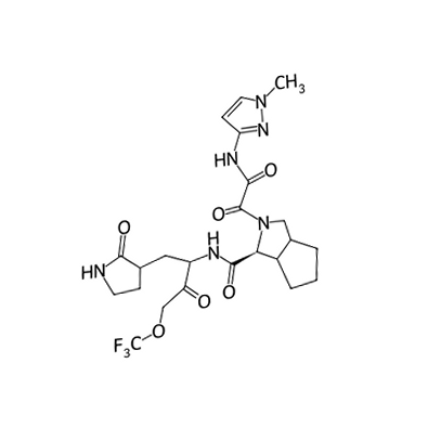 Cn1ccc(NC(=O)C(=O)N2CC3CCCC3[C@H]2C(=O)NC(CC2CCNC2=O)C(=O)COC(F)(F)F)n1